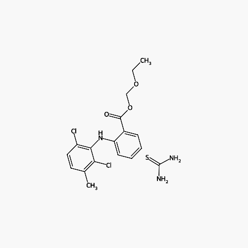 CCOCOC(=O)c1ccccc1Nc1c(Cl)ccc(C)c1Cl.NC(N)=S